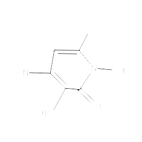 C=C1C(C(C)(C)C)=C(N)C=C(C(C)(C)C)N1C